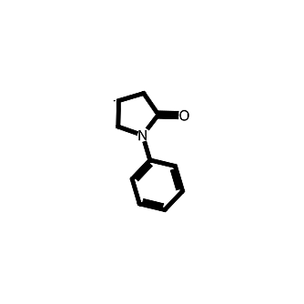 O=C1C[CH]CN1c1ccccc1